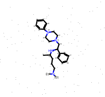 CCN(CC)CCCC(C)NC(CN1CCN(c2ccccc2)CC1)c1ccccc1